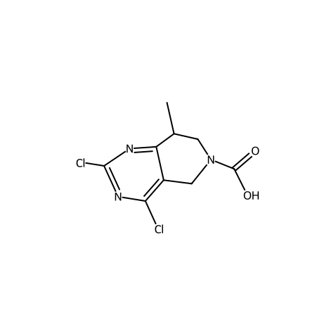 CC1CN(C(=O)O)Cc2c(Cl)nc(Cl)nc21